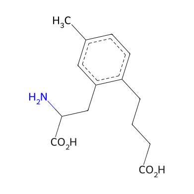 Cc1ccc(CCCC(=O)O)c(CC(N)C(=O)O)c1